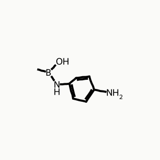 CB(O)Nc1ccc(N)cc1